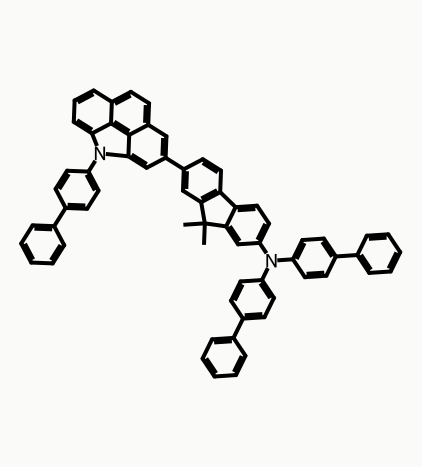 CC1(C)c2cc(-c3cc4ccc5cccc6c5c4c(c3)n6-c3ccc(-c4ccccc4)cc3)ccc2-c2ccc(N(c3ccc(-c4ccccc4)cc3)c3ccc(-c4ccccc4)cc3)cc21